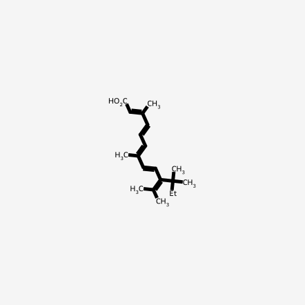 CCC(C)(C)C(C=CC(C)=CC=CC(C)=CC(=O)O)=C(C)C